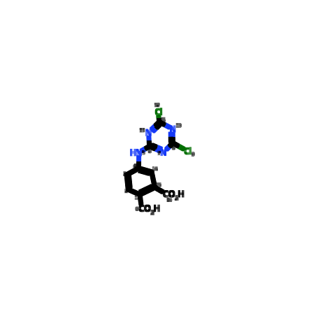 O=C(O)c1ccc(Nc2nc(Cl)nc(Cl)n2)cc1C(=O)O